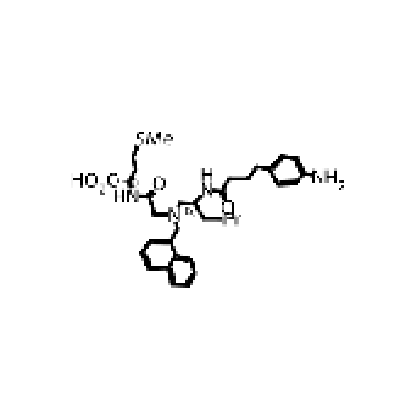 CSCC[C@H](NC(=O)CN(Cc1cccc2ccccc12)C[C@H](CC(C)C)NC(=O)CCCc1ccc(N)cc1)C(=O)O